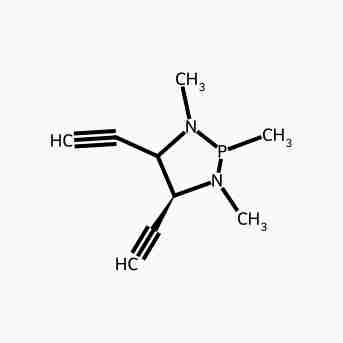 C#CC1[C@H](C#C)N(C)P(C)N1C